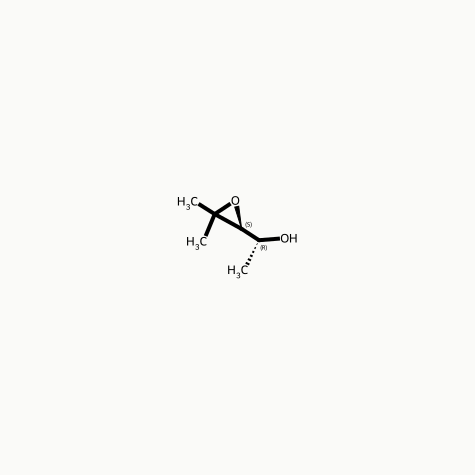 C[C@@H](O)[C@@H]1OC1(C)C